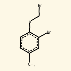 Cc1ccc(SCBr)c(Br)c1